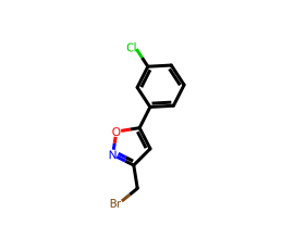 Clc1cccc(-c2cc(CBr)no2)c1